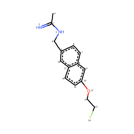 CC(=N)NCc1ccc2cc(OCCF)ccc2c1